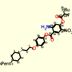 CCCCC[C@H]1CC[C@H](CCCOc2ccc(OC(=O)c3cc([N+](=O)[O-])c(OC(=O)[C@H](F)CCCC)cc3N)cc2)CC1